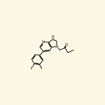 CCC(=O)CN1CNc2ncc(-c3ccc(F)c(C)c3)cc21